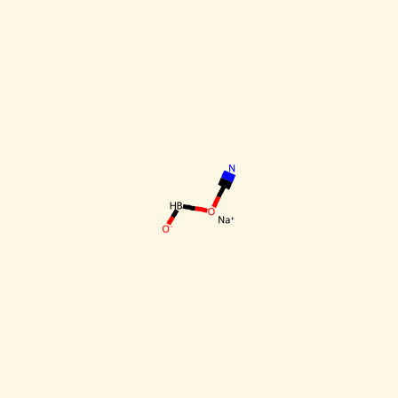 N#COB[O-].[Na+]